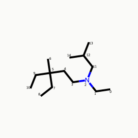 CCN(CCC(C)(CC)CC)CC(C)C